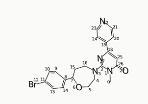 Cn1c(N2CCOC(c3ccc(Br)cc3)CC2)nc(-c2ccncc2)cc1=O